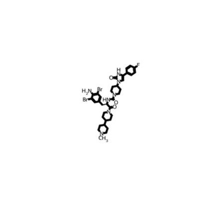 CN1CCC(C2CCN(C(=O)[C@@H](Cc3cc(Br)c(N)c(Br)c3)NC(=O)N3CCC(n4cc(-c5ccc(F)cc5)[nH]c4=O)CC3)CC2)CC1